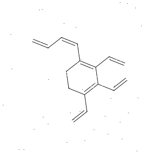 C=C/C=C\C1=C(C=C)C(C=C)=C(C=C)CC1